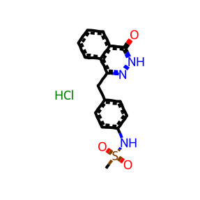 CS(=O)(=O)Nc1ccc(Cc2n[nH]c(=O)c3ccccc23)cc1.Cl